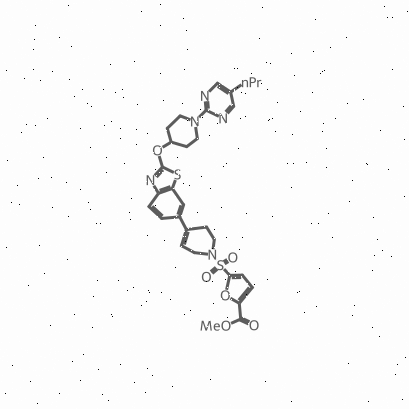 CCCc1cnc(N2CCC(Oc3nc4ccc(C5=CCN(S(=O)(=O)c6ccc(C(=O)OC)o6)CC5)cc4s3)CC2)nc1